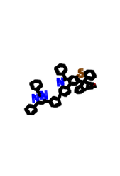 c1ccc(-c2cc(-c3cccc(-c4ccc5c(c4)nc(-c4ccccc4)c4cc6c(cc45)C4(c5ccccc5S6)c5ccccc5-c5ccccc54)c3)nc(-c3ccccc3)n2)cc1